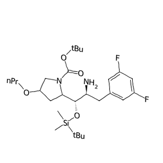 CCCOC1CC([C@@H](O[Si](C)(C)C(C)(C)C)[C@@H](N)Cc2cc(F)cc(F)c2)N(C(=O)OC(C)(C)C)C1